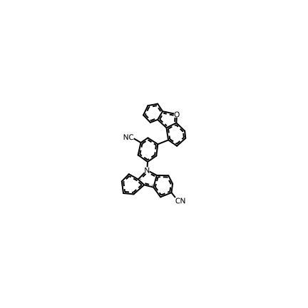 N#Cc1cc(-c2cccc3oc4ccccc4c23)cc(-n2c3ccccc3c3cc(C#N)ccc32)c1